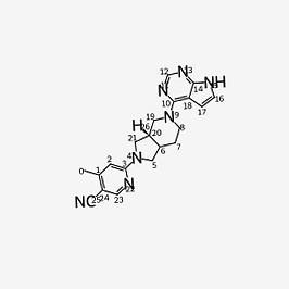 Cc1cc(N2CC3CCN(c4ncnc5[nH]ccc45)C[C@H]3C2)ncc1C#N